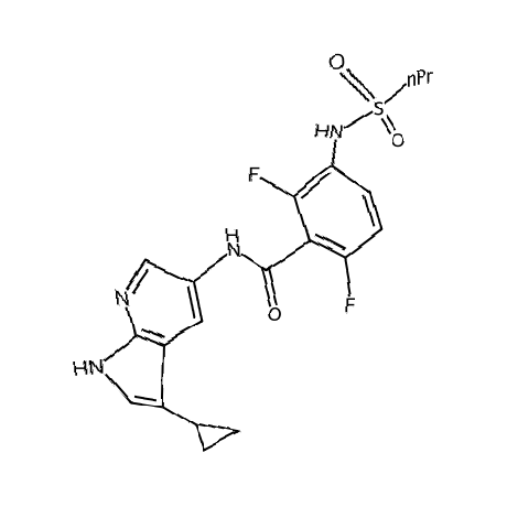 CCCS(=O)(=O)Nc1ccc(F)c(C(=O)Nc2cnc3[nH]cc(C4CC4)c3c2)c1F